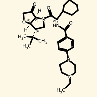 CCN1CCN(c2ccc(C(=O)N[C@H](C(=O)N3C[C@H](C(C)(C)C)[C@H]4OCC(=O)[C@H]43)C3CCCCC3)cc2)CC1